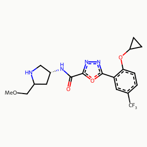 COCC1C[C@@H](NC(=O)c2nnc(-c3cc(C(F)(F)F)ccc3OC3CC3)o2)CN1